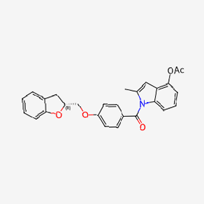 CC(=O)Oc1cccc2c1cc(C)n2C(=O)c1ccc(OC[C@H]2Cc3ccccc3O2)cc1